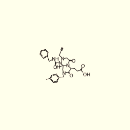 C#CCN1CC(=O)N2[C@@H](CCC(=O)O)C(=O)N(Cc3ccc(C)cc3)C[C@@H]2N1C(=O)NCc1ccccc1